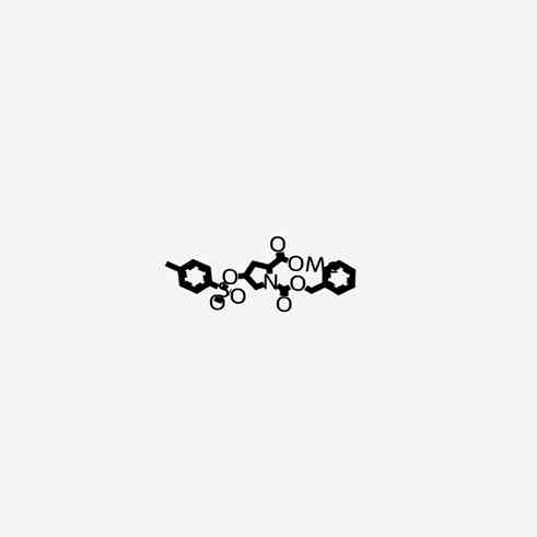 COC(=O)C1CC(OS(=O)(=O)c2ccc(C)cc2)CN1C(=O)OCc1ccccc1